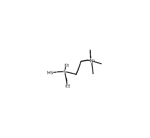 CCS(S)(CC)CC[N+](C)(C)C